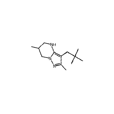 Cc1nn2c(c1CC(C)(C)C)NCC(C)C2